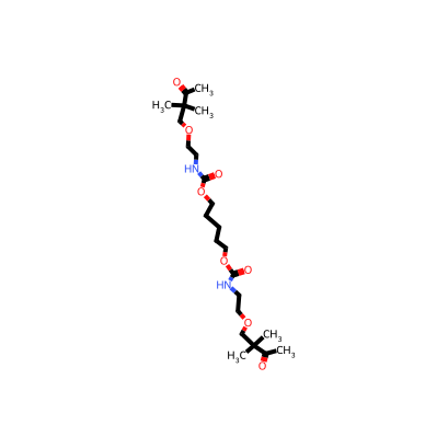 CC(=O)C(C)(C)COCCNC(=O)OCCCCCOC(=O)NCCOCC(C)(C)C(C)=O